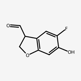 O=CC1COc2cc(O)c(F)cc21